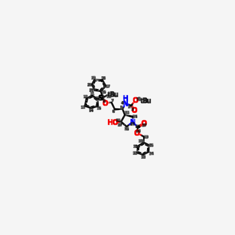 CC(C)(C)OC(=O)N[C@H](CCO[Si](c1ccccc1)(c1ccccc1)C(C)(C)C)[C@H]1CN(C(=O)OCc2ccccc2)C[C@H]1O